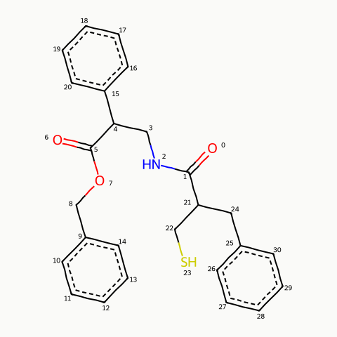 O=C(NCC(C(=O)OCc1ccccc1)c1ccccc1)C(CS)Cc1ccccc1